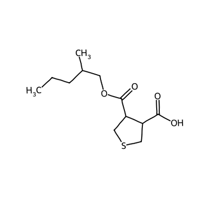 CCCC(C)COC(=O)C1CSCC1C(=O)O